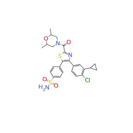 CC1CN(C(=O)c2nc(-c3ccc(Cl)c(C4CC4)c3)c(-c3ccc(S(N)(=O)=O)cc3)s2)CC(C)O1